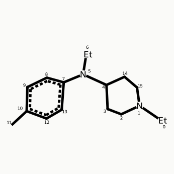 CCN1CCC(N(CC)c2ccc(C)cc2)CC1